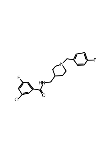 O=C(NCC1CCN(Cc2ccc(F)cc2)CC1)c1cc(F)cc(Cl)c1